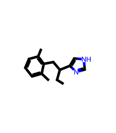 CCC(Cc1c(C)cccc1C)c1c[nH]cn1